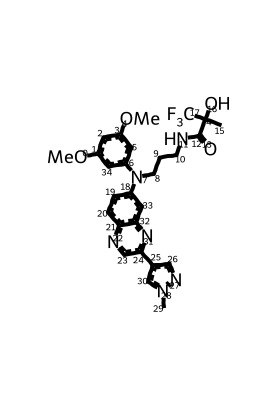 COc1cc(OC)cc(N(CCCNC(=O)C(C)(O)C(F)(F)F)c2ccc3ncc(-c4cnn(C)c4)nc3c2)c1